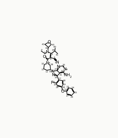 CCN(C(=C(C#N)C(=O)N1CCC[C@@H](n2nc(-c3ccc(Oc4ccccc4)cc3F)c3c(N)ncnc32)C1)C(C)C)C1COC1